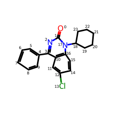 O=c1nc(-c2ccccc2)c2cc(Cl)ccc2n1C1CCCCC1